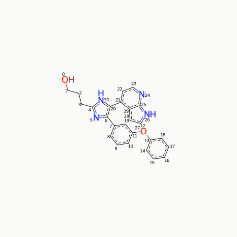 OCCCc1nc(-c2cccc(Oc3ccccc3)c2)c(-c2ccnc3[nH]ccc23)[nH]1